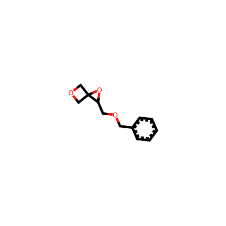 c1ccc(COCC2OC23COC3)cc1